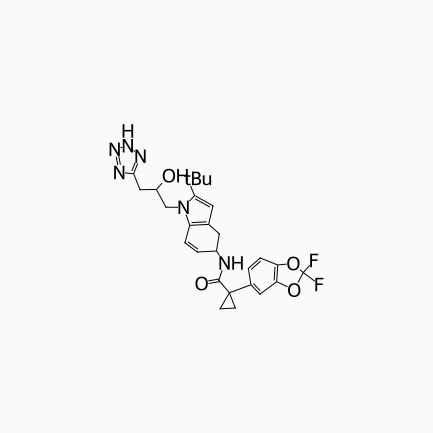 CC(C)(C)c1cc2c(n1CC(O)Cc1nn[nH]n1)C=CC(NC(=O)C1(c3ccc4c(c3)OC(F)(F)O4)CC1)C2